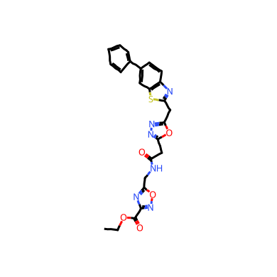 CCOC(=O)c1noc(CNC(=O)Cc2nnc(Cc3nc4ccc(-c5ccccc5)cc4s3)o2)n1